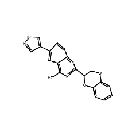 Oc1nc(C2COc3ccccc3O2)nc2ccc(-c3cn[nH]c3)cc12